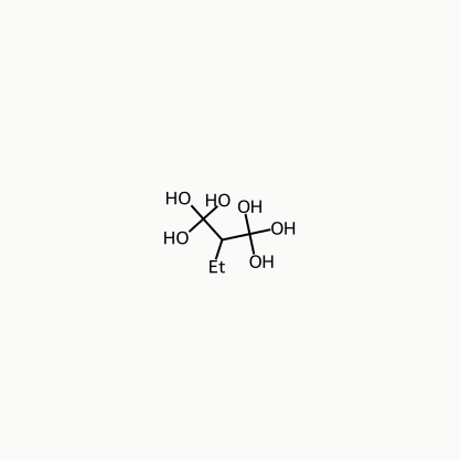 [CH2]CC(C(O)(O)O)C(O)(O)O